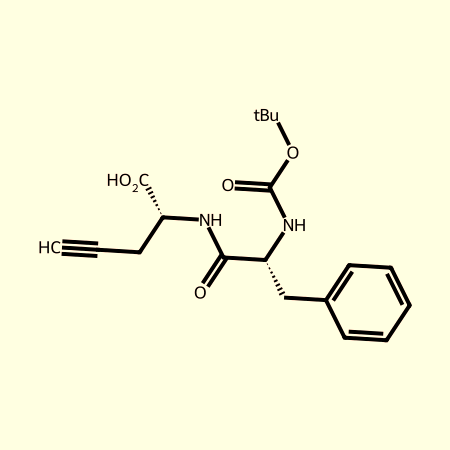 C#CC[C@@H](NC(=O)[C@@H](Cc1ccccc1)NC(=O)OC(C)(C)C)C(=O)O